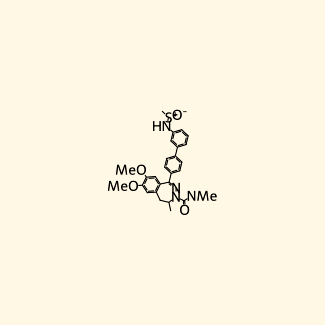 CNC(=O)N1N=C(c2ccc(-c3cccc(N[S+](C)[O-])c3)cc2)c2cc(OC)c(OC)cc2CC1C